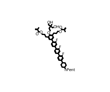 C=C(C)C(=O)OCCCc1cc(-c2ccc(-c3ccc(-c4ccc(C5CCC(CCCCC)CC5)cc4F)cc3F)cc2F)cc(CCCOC(=O)C(=C)C)c1OCCC(C)(CO)CO